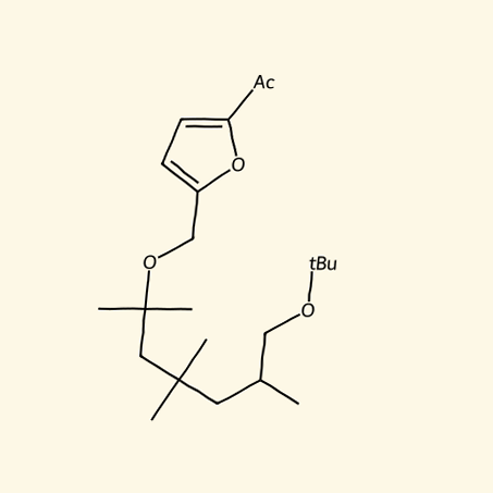 CC(=O)c1ccc(COC(C)(C)CC(C)(C)CC(C)COC(C)(C)C)o1